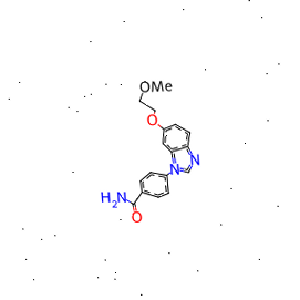 COCCOc1ccc2ncn(-c3ccc(C(N)=O)cc3)c2c1